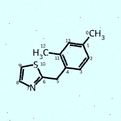 Cc1ccc(Cc2nc[c]s2)c(C)c1